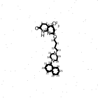 O=C1CCc2c(C(F)(F)F)cc(OCCCCN3CCN(c4cccc5ccccc45)CC3)nc2N1